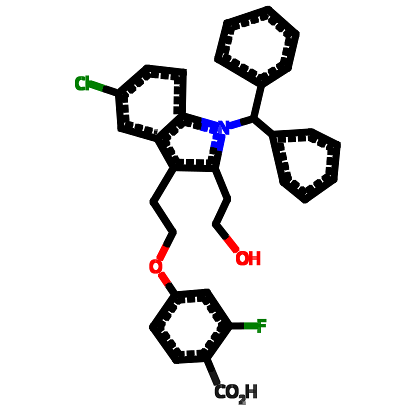 O=C(O)c1ccc(OCCc2c(CCO)n(C(c3ccccc3)c3ccccc3)c3ccc(Cl)cc23)cc1F